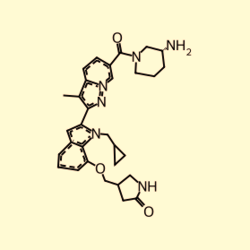 Cc1c(-c2cc3cccc(OCC4CNC(=O)C4)c3n2CC2CC2)nn2cc(C(=O)N3CCC[C@@H](N)C3)ccc12